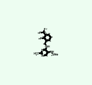 CSNc1cnc(C)nc1NCc1cccc(C(F)F)c1F